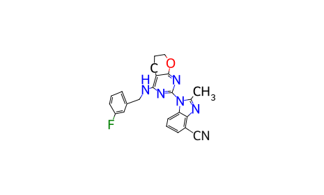 Cc1nc2c(C#N)cccc2n1-c1nc(NCc2cccc(F)c2)c2c(n1)OCCC2